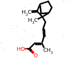 C=C1C2CCC(C2)C1(C)CC=CC(C)=CC(=O)O